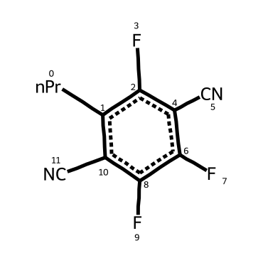 CCCc1c(F)c(C#N)c(F)c(F)c1C#N